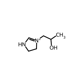 CC(O)C[N+]1=CNCC1